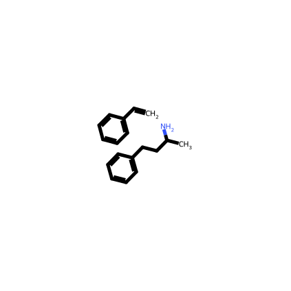 C=Cc1ccccc1.CC(N)CCc1ccccc1